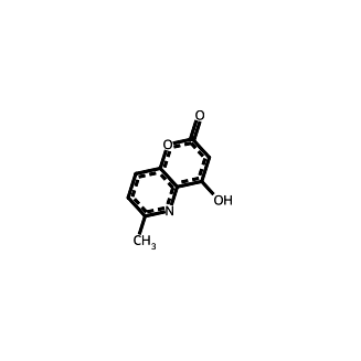 Cc1ccc2oc(=O)cc(O)c2n1